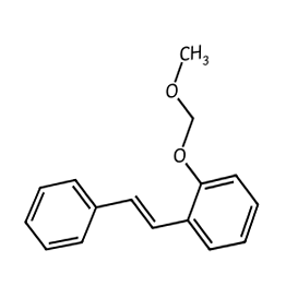 COCOc1ccccc1C=Cc1ccccc1